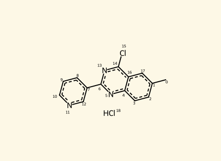 Cc1ccc2nc(-c3cccnc3)nc(Cl)c2c1.Cl